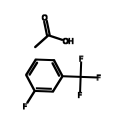 CC(=O)O.Fc1cccc(C(F)(F)F)c1